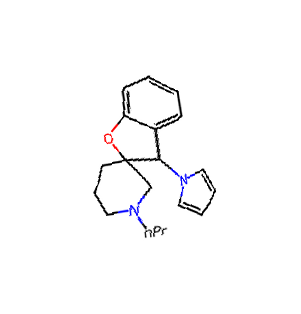 CCCN1CCCC2(C1)Oc1ccccc1C2n1cccc1